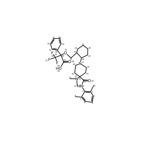 Cc1cccc(C)c1NC(=O)C1(N(C)C)CCN(C2CCCCC2COC(C(=O)O)(c2ccccc2)C(F)(F)F)CC1